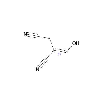 N#CC/C(C#N)=C\O